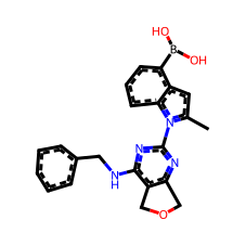 Cc1cc2c(B(O)O)cccc2n1-c1nc2c(c(NCc3ccccc3)n1)COC2